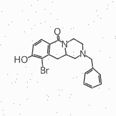 O=C1c2ccc(O)c(Br)c2CC2CN(Cc3ccccc3)CCN12